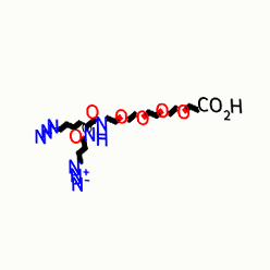 [N-]=[N+]=NCCCC[C@H](NC(=O)CCCN=[N+]=[N-])C(=O)NCCOCCOCCOCCOCCC(=O)O